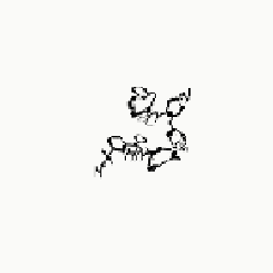 Cc1ccc(NC(=O)c2cccc(C(C)(C)C#N)c2)cc1-n1cc(-c2cnccc2O[C@H]2CCOC2)cn1